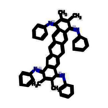 Cc1c(C)/c(=N/c2ccccc2)c2cc3cc4cc5/c(=N/c6ccccc6)c(C)c(C)/c(=N\c6ccccc6)c5cc4cc3cc2/c1=N\c1ccccc1